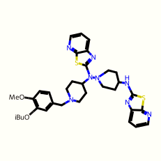 COc1ccc(CN2CCC(N(c3nc4cccnc4s3)N3CCC(Nc4nc5cccnc5s4)CC3)CC2)cc1OCC(C)C